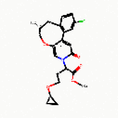 CC(C)(C)OC(=O)C(CCOC1CC1)n1cc2c(cc1=O)-c1cc(Cl)ccc1C[C@@H](C(F)(F)F)CO2